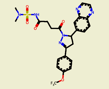 CN(C)S(=O)(=O)NC(=O)CCC(=O)N1N=C(c2ccc(OC(F)(F)F)cc2)CC1c1ccc2nccnc2c1